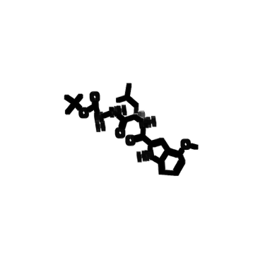 COc1cccc2[nH]c(C(=O)N[C@@H](CC(C)C)C(=O)NNC(=O)OC(C)(C)C)cc12